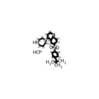 CC(C)(C)c1ccc(S(=O)(=O)c2ccc3nccc(N4CCCNCC4)c3c2)cc1.Cl